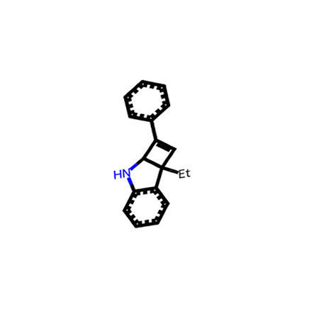 CCC12C=C(c3ccccc3)C1Nc1ccccc12